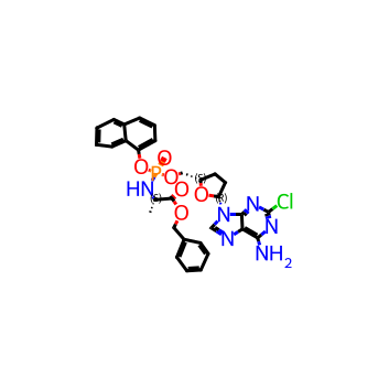 C[C@H](NP(=O)(OC[C@@H]1CC[C@H](n2cnc3c(N)nc(Cl)nc32)O1)Oc1cccc2ccccc12)C(=O)OCc1ccccc1